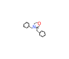 c1ccc(C[C@@H]2COCCN2Cc2ccccc2)cc1